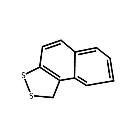 c1ccc2c3c(ccc2c1)SSC3